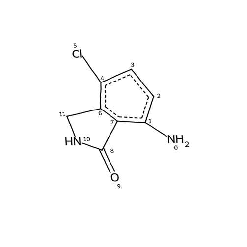 Nc1ccc(Cl)c2c1C(=O)NC2